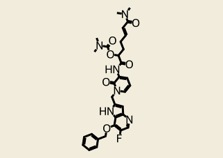 CN(C)C(=O)C=CCCC(OC(=O)N(C)C)C(=O)Nc1cccn(Cc2cc3ncc(F)c(OCc4ccccc4)c3[nH]2)c1=O